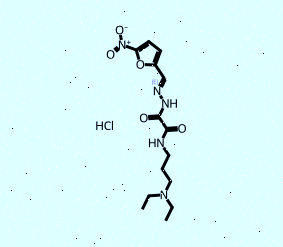 CCN(CC)CCCNC(=O)C(=O)N/N=C/c1ccc([N+](=O)[O-])o1.Cl